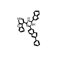 C1=C(C2=NC(c3ccc4cc(-c5ccccc5)ccc4c3)NC(c3ccc4ccccc4c3)N2)c2c(oc3ccccc23)CN1